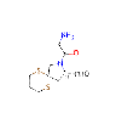 NCC(=O)N1CC2(C[C@H]1C=O)SCCCS2